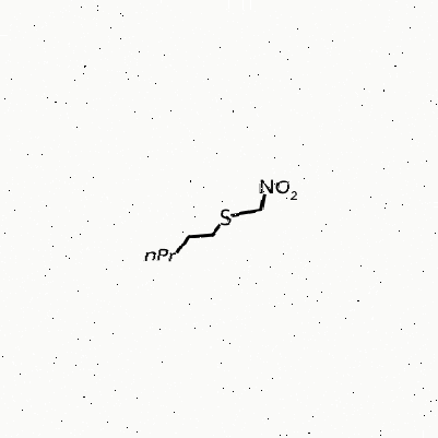 CCCCCSC[N+](=O)[O-]